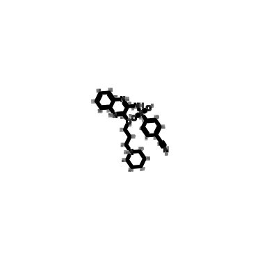 N#Cc1ccc(S(=O)(=O)Nc2nc3ccccc3nc2OCCCN2CCCCC2)cc1